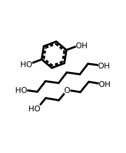 OCCCCCCO.OCCOCCO.Oc1ccc(O)cc1